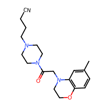 Cc1ccc2c(c1)N(CC(=O)N1CCN(CCCC#N)CC1)CCO2